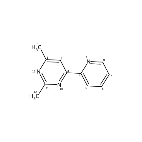 Cc1cc(-c2ccccn2)nc(C)n1